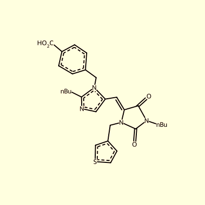 CCCCc1ncc(/C=C2/C(=O)N(CCCC)C(=O)N2Cc2ccsc2)n1Cc1ccc(C(=O)O)cc1